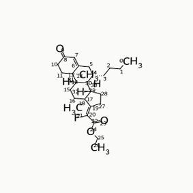 CCCC[C@H]1CC2=CC(=O)CC[C@]2(C)[C@H]2CC[C@]3(C)C(=C(F)C(=O)OCC)CC[C@H]3[C@H]12